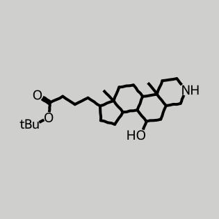 CC(C)(C)OC(=O)CCCC1CCC2C3C(O)CC4CNCCC4(C)C3CCC12C